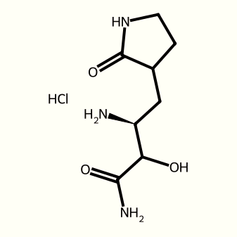 Cl.NC(=O)C(O)[C@@H](N)CC1CCNC1=O